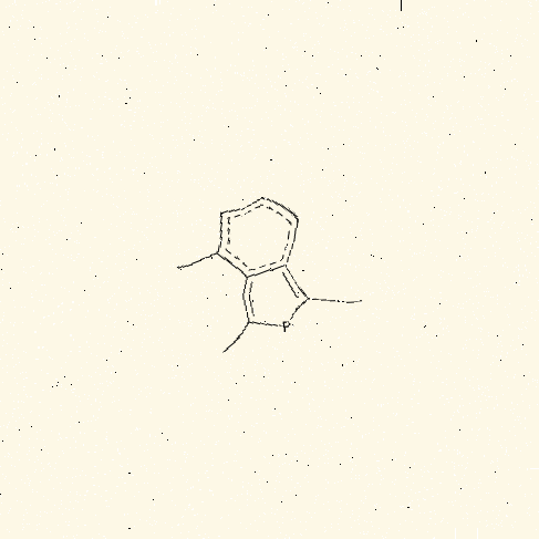 CC1=c2cccc(C)c2=C(C)[P]1